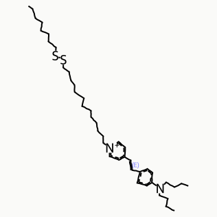 CCCCCCCCSSCCCCCCCCCCCCC[n+]1ccc(/C=C/c2ccc(N(CCCC)CCCC)cc2)cc1